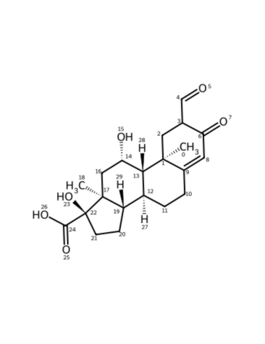 C[C@]12CC(C=O)C(=O)C=C1CC[C@@H]1[C@@H]2[C@@H](O)C[C@@]2(C)[C@H]1CC[C@]2(O)C(=O)O